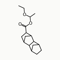 CCOC(C)OC(=O)C1CC2CC1C1C3CCC(C3)C21